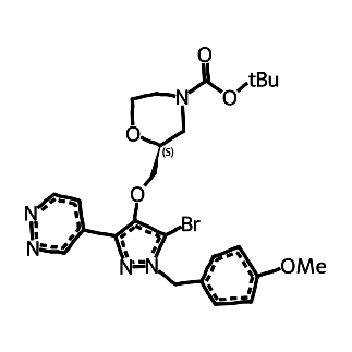 COc1ccc(Cn2nc(-c3ccnnc3)c(OC[C@@H]3CN(C(=O)OC(C)(C)C)CCO3)c2Br)cc1